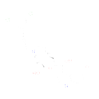 COc1ccc2nccc(C(O)CC[C@@H]3CCN(CC#Cc4cc(Cl)cc(Cl)c4)C[C@@H]3C(=O)O)c2c1